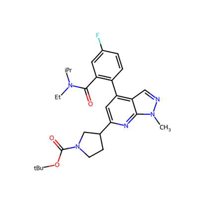 CCN(C(=O)c1cc(F)ccc1-c1cc(C2CCN(C(=O)OC(C)(C)C)C2)nc2c1cnn2C)C(C)C